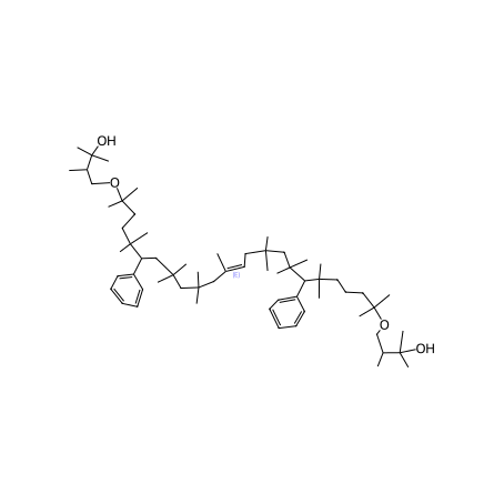 C/C(=C\CC(C)(C)CC(C)(C)C(c1ccccc1)C(C)(C)CCCC(C)(C)OCC(C)C(C)(C)O)CC(C)(C)CC(C)(C)CC(c1ccccc1)C(C)(C)CCC(C)(C)OCC(C)C(C)(C)O